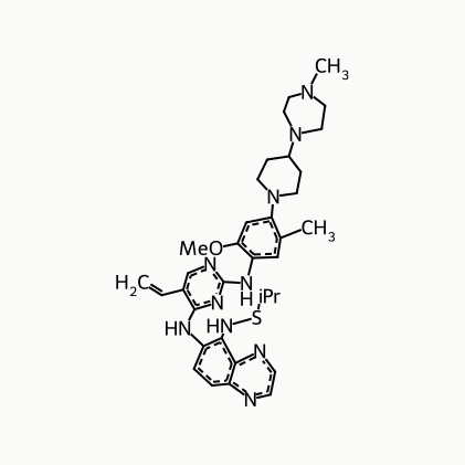 C=Cc1cnc(Nc2cc(C)c(N3CCC(N4CCN(C)CC4)CC3)cc2OC)nc1Nc1ccc2nccnc2c1NSC(C)C